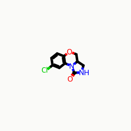 O=C1NCC2COc3ccc(Cl)cc3N12